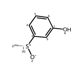 C[S@@+]([O-])c1cccc(O)c1